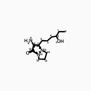 CCC(O)CCCc1c(N)c(=O)n2n1CCC2